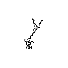 CCCCOC(COCCCCCOc1c(CC)cc(O)cc1CC)OCCCC